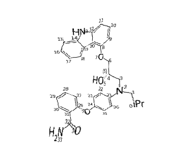 CC(C)CN(C[C@H](O)COc1cccc2[nH]c3ccccc3c12)c1ccc(Oc2ccccc2C(N)=O)cc1